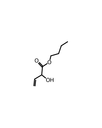 C=CC(O)C(=O)OCCCC